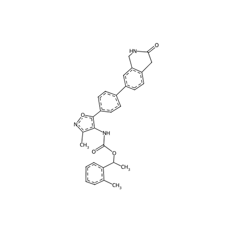 Cc1ccccc1C(C)OC(=O)Nc1c(C)noc1-c1ccc(-c2ccc3c(c2)CNC(=O)C3)cc1